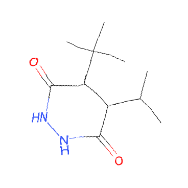 CC(C)C1C(=O)NNC(=O)C1C(C)(C)C